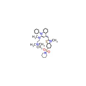 CN(CC[N+](C)(C)C)C1=C/C(=C\c2sc3cc(S(=O)(=O)N4CCCCC4)ccc3[n+]2C)c2ccccc2N1c1ccccc1